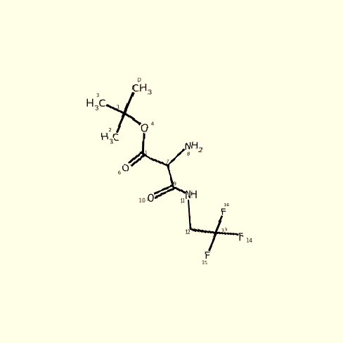 CC(C)(C)OC(=O)C(N)C(=O)NCC(F)(F)F